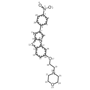 O=[N+]([O-])c1ccc(-c2cn3c(n2)sc2ccc(OCCN4CCOCC4)cc23)cc1